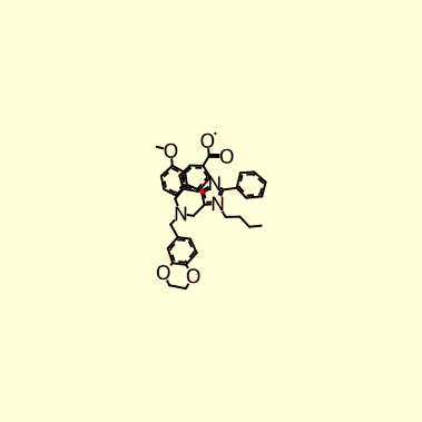 CCCCn1c(-c2ccccc2)nc(-c2cccc(OC)c2)c1CN(Cc1ccc(C(=O)OC)cc1)Cc1ccc2c(c1)OCCO2